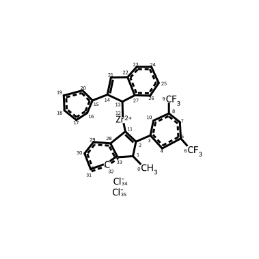 CC1C(c2cc(C(F)(F)F)cc(C(F)(F)F)c2)=[C]([Zr+2][CH]2C(c3ccccc3)=Cc3ccccc32)c2ccccc21.[Cl-].[Cl-]